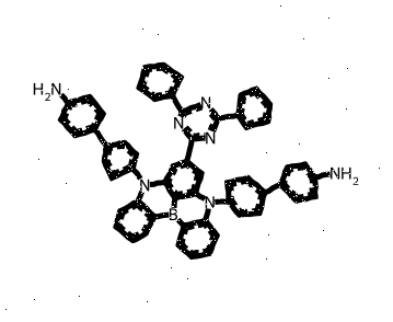 Nc1ccc(-c2ccc(N3c4ccccc4B4c5ccccc5N(c5ccc(-c6ccc(N)cc6)cc5)c5cc(-c6nc(-c7ccccc7)nc(-c7ccccc7)n6)cc3c54)cc2)cc1